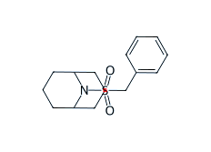 O=S(=O)(Cc1ccccc1)N1C2CCCC1CCC2